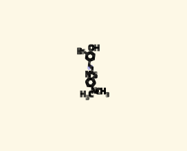 CN(C)c1ccc2nc(/C=C/c3ccc(O)c(Br)c3)sc2c1